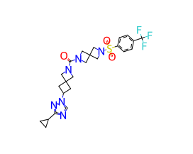 O=C(N1CC2(CC(n3cnc(C4CC4)n3)C2)C1)N1CC2(C1)CN(S(=O)(=O)c1ccc(C(F)(F)F)cc1)C2